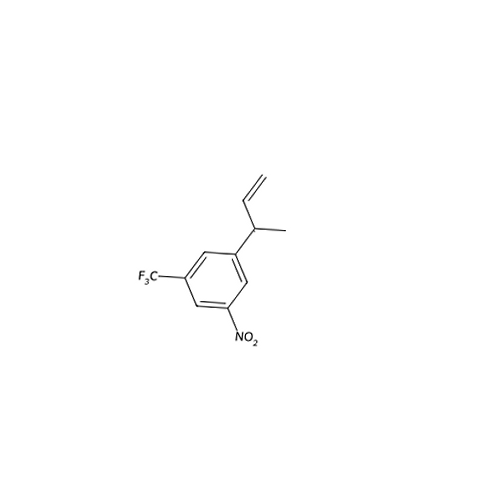 C=C[C](C)c1cc([N+](=O)[O-])cc(C(F)(F)F)c1